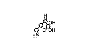 CCOc1cccc(-c2ccc(-c3c[nH]nc3-c3cc(Cl)c(O)cc3O)cc2)c1